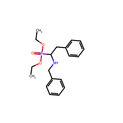 CCOP(=O)(OCC)C(Cc1ccccc1)NCc1ccccc1